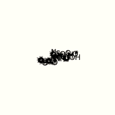 COC[C@H](O)C(=O)N1CCC[C@@H](NC(=O)c2sc3nccc4c3c2NC(=O)N4c2ccc(Oc3ccccc3)cc2C)C1